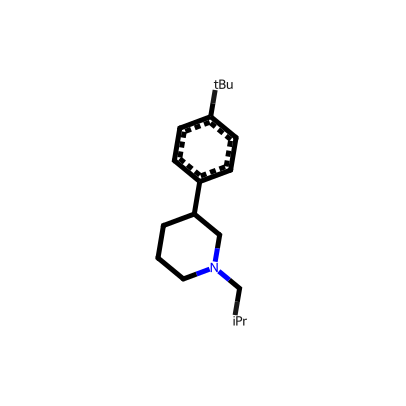 CC(C)CN1CCCC(c2ccc(C(C)(C)C)cc2)C1